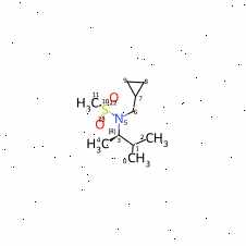 CC(C)[C@@H](C)N(CC1CC1)S(C)(=O)=O